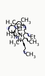 C=N/C(=N\C)N(C)C(C#CC/C=C\C)C(C=CC)CC(/C=C/CC)C/C=C\CC(C)CC(C)(C)/C1=C(\CC)CCC/C=C\C1